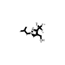 CC(C)Cn1cc(CO)c(C(F)(F)F)n1